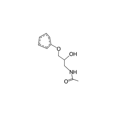 CC(=O)NCC(O)COc1ccccc1